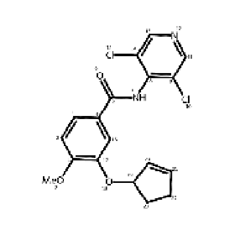 COc1ccc(C(=O)Nc2c(Cl)cncc2Cl)cc1OC1C=CCC1